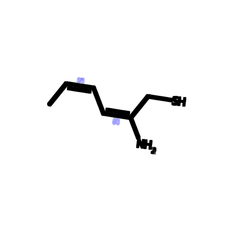 C/C=C\C=C(\N)CS